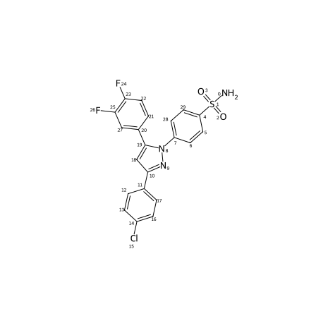 NS(=O)(=O)c1ccc(-n2nc(-c3ccc(Cl)cc3)cc2-c2ccc(F)c(F)c2)cc1